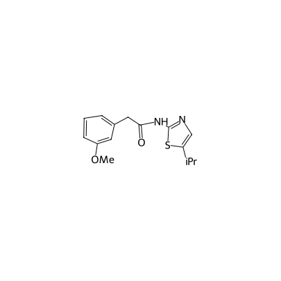 COc1cccc(CC(=O)Nc2ncc(C(C)C)s2)c1